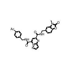 CC(=O)c1ccc(CNC(=O)c2cc(C(=O)NCc3ccc4oc(=O)n(C)c4c3)nc3ccnn23)cc1